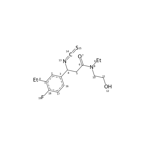 CCc1cc(C(CC(=O)N(CC)CCO)N=C=S)ccc1F